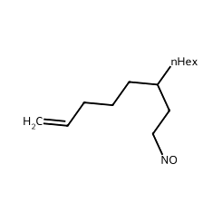 C=CCCCC(CCCCCC)CCN=O